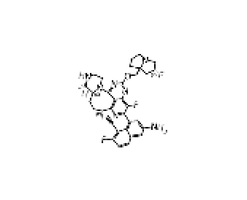 C#Cc1c(F)ccc2cc(N)cc(-c3nc4c5c(nc(OC[C@@]67CCCN6C[C@H](F)C7)nc5c3F)N3CCN[C@@H](C)[C@@H]3CC[C@H]4C)c12